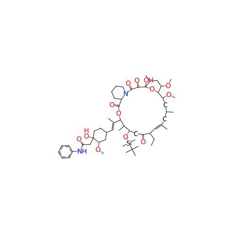 CCC1/C=C(\C)CC(C)CC(OC)C2OC(O)(C(=O)C(=O)N3CCCCC3C(=O)OC(C(C)=CC3CCC(O)(CC(=O)Nc4ccccc4)C(OC)C3)C(C)C(O[Si](C)(C)C(C)(C)C)CC1=O)C(C)CC2OC